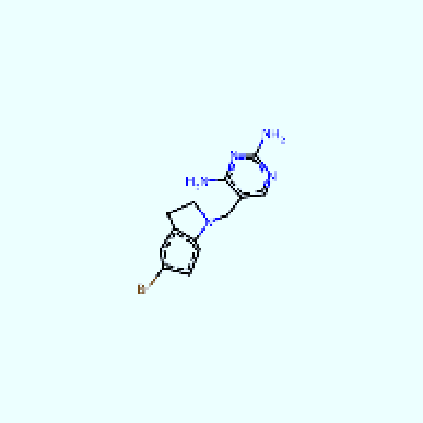 Nc1ncc(CN2CCc3cc(Br)ccc32)c(N)n1